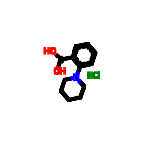 Cl.OB(O)c1ccccc1N1CCCCC1